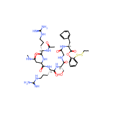 CCSSc1ccccc1OC(=O)[C@H](Cc1ccccc1)NC(=O)CNC(=O)[C@H](CO)NC(=O)[C@H](CCCNC(=N)N)NC(=O)C(CC(=O)NC)NC(=O)[C@H](CCCNC(=N)N)NC(C)=O